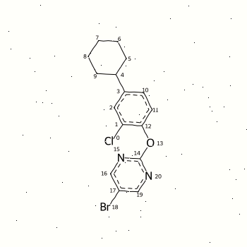 Clc1cc(C2CCCCC2)ccc1Oc1ncc(Br)cn1